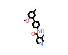 COc1ccc(C)cc1-c1ccc(NC(=O)c2ccncc2C)cc1